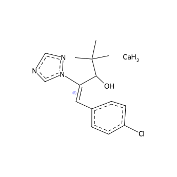 CC(C)(C)C(O)/C(=C\c1ccc(Cl)cc1)n1cncn1.[CaH2]